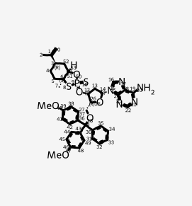 C=C(C)[C@@H]1CC[C@]2(C)SP(=S)(O[C@H]3C[C@H](n4cnc5c(N)ncnc54)O[C@@H]3COC(c3ccccc3)(c3ccc(OC)cc3)c3ccc(OC)cc3)O[C@H]2C1